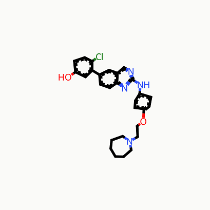 Oc1ccc(Cl)c(-c2ccc3nc(Nc4ccc(OCCN5CCCCCC5)cc4)ncc3c2)c1